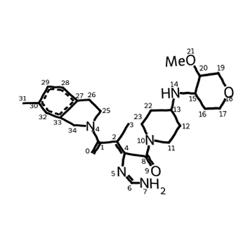 C=C(/C(C)=C(\N=C/N)C(=O)N1CCC(NC2CCOCC2OC)CC1)N1CCc2ccc(C)cc2C1